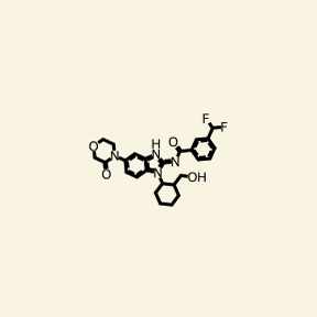 O=C(/N=c1\[nH]c2cc(N3CCOCC3=O)ccc2n1C1CCCCC1CO)c1cccc(C(F)F)c1